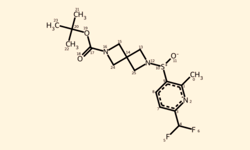 Cc1nc(C(F)F)ccc1[S+]([O-])N1CC2(CN(C(=O)OC(C)(C)C)C2)C1